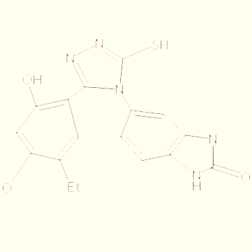 CCc1cc(-c2nnc(S)n2-c2ccc3c(c2)[N]C(=O)N3)c(O)cc1O